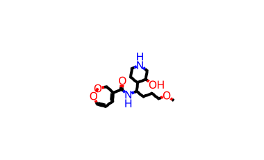 COCCCC(NC(=O)C1=CC=COOC1)C1CCNCC1O